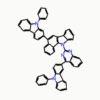 c1ccc(-n2c3ccccc3c3cc(-c4nc(-n5c6ccccc6c6cc(-c7ccc8c9ccccc9n(-c9ccccc9)c8c7)c7ccccc7c65)nc5ccccc45)ccc32)cc1